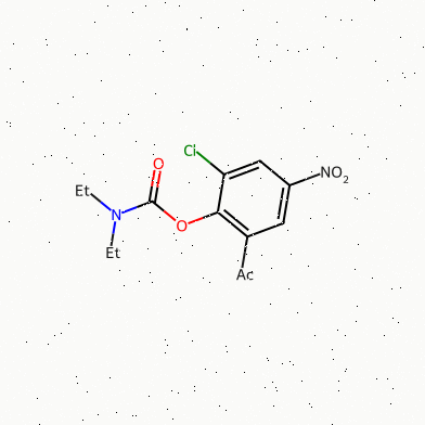 CCN(CC)C(=O)Oc1c(Cl)cc([N+](=O)[O-])cc1C(C)=O